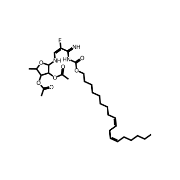 CCCCC/C=C\C/C=C\CCCCCCCCOC(=O)NC(=N)/C(F)=C\NC1OC(C)C(OC(C)=O)C1OC(C)=O